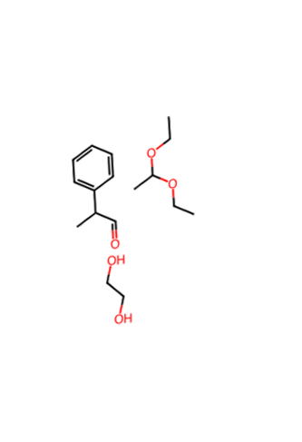 CC(C=O)c1ccccc1.CCOC(C)OCC.OCCO